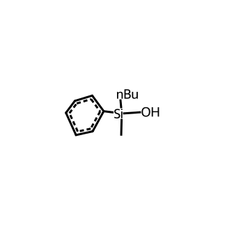 CCCC[Si](C)(O)c1ccccc1